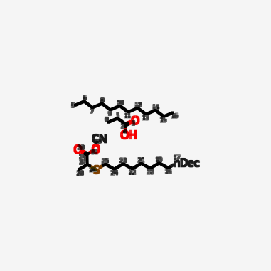 CCC(=O)O.CCCCCCCCCCCC.CCCCCCCCCCCCCCCCCCSC(C)C(=O)OC#N